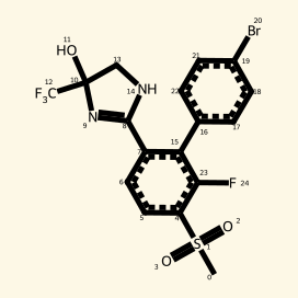 CS(=O)(=O)c1ccc(C2=NC(O)(C(F)(F)F)CN2)c(-c2ccc(Br)cc2)c1F